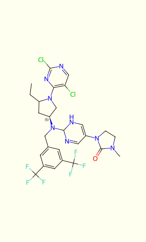 CCC1C[C@H](N(Cc2cc(C(F)(F)F)cc(C(F)(F)F)c2)C2N=CC(N3CCN(C)C3=O)=CN2)CN1c1nc(Cl)ncc1Cl